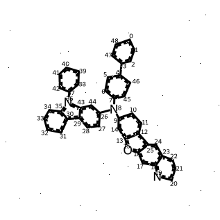 c1ccc(-c2ccc(N(c3ccc4c(c3)oc3cc5ncccc5cc34)c3ccc4c5ccccc5n(-c5ccccc5)c4c3)cc2)cc1